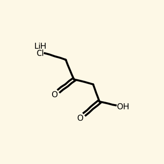 O=C(O)CC(=O)CCl.[LiH]